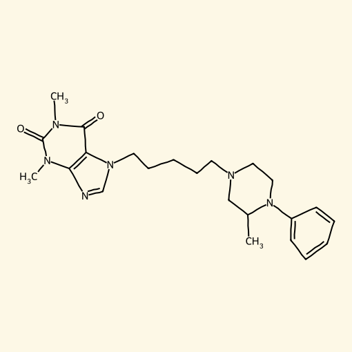 CC1CN(CCCCCn2cnc3c2c(=O)n(C)c(=O)n3C)CCN1c1ccccc1